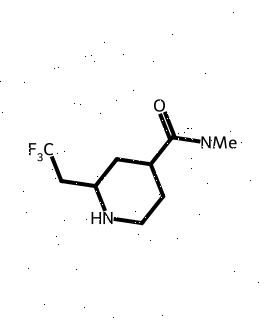 CNC(=O)C1CCNC(CC(F)(F)F)C1